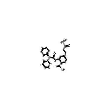 NC(=O)c1ccc(C=CC(=O)NO)cc1CC(=O)N(c1ccccc1)c1ccccc1